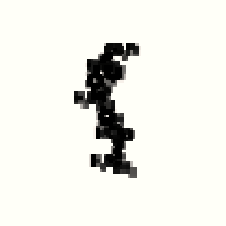 CCOC(=O)CCN(C(=O)c1ccc2c(c1)nc(CNc1ccc(C(=N)NC(=O)OCCCN(C)C)cc1)n2C)c1ccccn1